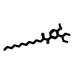 CCCCCCCCCCCC(=O)Nc1ccc(OC)c(N(CC)CC)c1